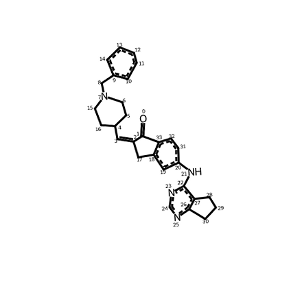 O=C1C(=CC2CCN(Cc3ccccc3)CC2)Cc2cc(Nc3ncnc4c3CCC4)ccc21